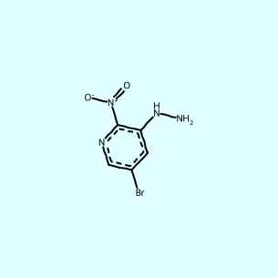 NNc1cc(Br)cnc1[N+](=O)[O-]